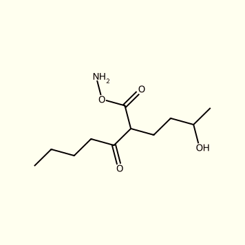 CCCCC(=O)C(CCC(C)O)C(=O)ON